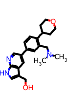 CN(C)Cc1cc(-c2cnc3[nH]cc(CO)c3c2)ccc1C1CCOCC1